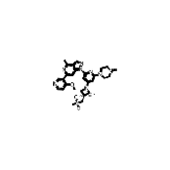 COc1ccncc1-c1cc2c(cnn2-c2cc(N3C[C@H](CS(C)(=O)=O)[C@H]3C)cc(N3CCN(C)CC3)n2)c(C)n1